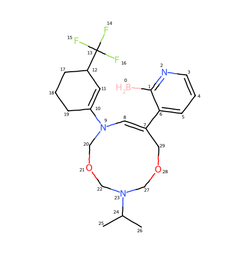 Bc1ncccc1/C1=C/N(C2=CC(C(F)(F)F)CCC2)COCN(C(C)C)COC1